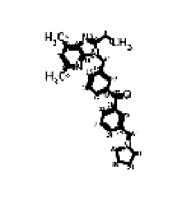 CCc1nc2c(C)cc(C)nc2n1Cc1cccc(C(=O)c2cccc(CN3CCCC3)c2)c1